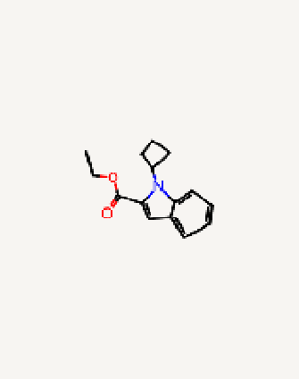 CCOC(=O)c1cc2ccccc2n1C1CCC1